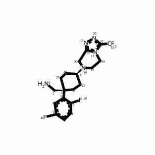 NC[C@]1(c2cc(F)ccc2F)CC[C@H](N2CCn3c(nnc3C(F)(F)F)C2)CC1